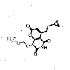 COCOn1c(=O)[nH]c(=O)c2c(CCC3CC3)cc(=O)oc21